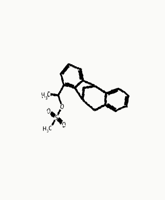 CC(OS(C)(=O)=O)c1cccc2c1C1Cc3ccccc3C2C1